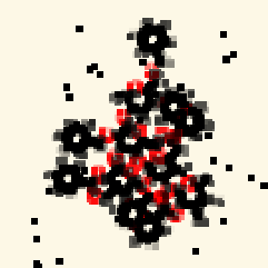 CC1O[C@@H](O[C@@H]2C(OC(=O)c3ccccc3)[C@H](O[C@@H]3C(COCc4ccccc4)O[C@H](OC4[C@@H](C)[C@H](C)C(COCc5ccccc5)O[C@@H]4C)C(OCc4ccccc4)[C@H]3O[C@@H]3OC(C)[C@H](C)C(C)[C@@H]3OC(=O)c3ccccc3)OC(COCc3ccccc3)[C@H]2C)[C@@H](OC(=O)c2ccccc2)C(C)[C@H]1C